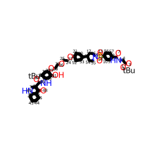 CC(C)(C)OC(=O)CNC(=O)c1ccc(S(=O)(=O)N2CCC(c3ccc(OCCOCCOc4cc(C(C)(C)C)c(NC(=O)c5c[nH]c6ccccc6c5=O)cc4O)cc3)CC2)cc1